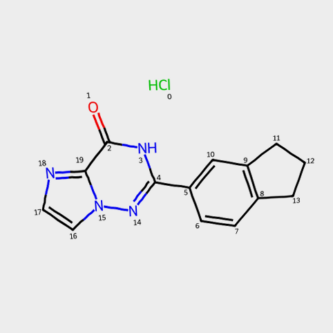 Cl.O=c1[nH]c(-c2ccc3c(c2)CCC3)nn2ccnc12